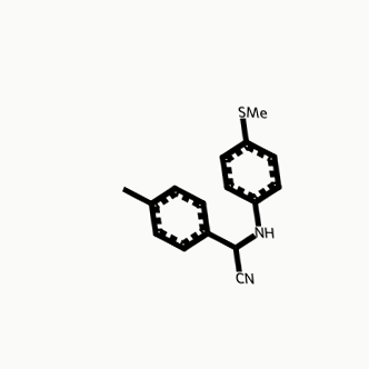 CSc1ccc(NC(C#N)c2ccc(C)cc2)cc1